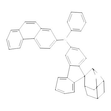 c1ccc(N(c2ccc3c(c2)-c2ccccc2C32C3CC4CC(C3)CC2C4)c2ccc3c(ccc4ccccc43)c2)cc1